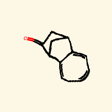 O=C1CC2CC1c1ccccc12